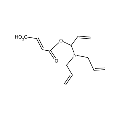 C=CCN(CC=C)C(C=C)OC(=O)C=CC(=O)O